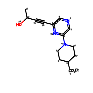 CCOC(=O)C1CCN(c2cncc(C#CC(C)O)n2)CC1